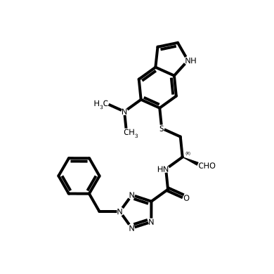 CN(C)c1cc2cc[nH]c2cc1SC[C@@H](C=O)NC(=O)c1nnn(Cc2ccccc2)n1